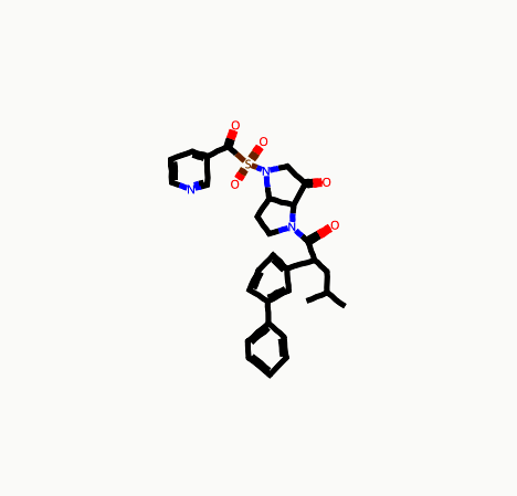 CC(C)CC(C(=O)N1CCC2C1C(=O)CN2S(=O)(=O)C(=O)c1cccnc1)c1cccc(-c2ccccc2)c1